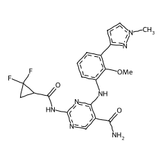 COc1c(Nc2nc(NC(=O)C3CC3(F)F)ncc2C(N)=O)cccc1-c1ccn(C)n1